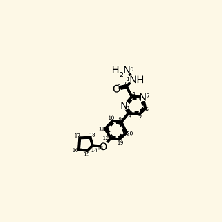 NNC(=O)c1nccc(-c2ccc(OC3CCCC3)cc2)n1